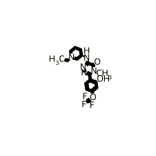 CCN1CCC[C@@H](Nc2nnc(-c3ccc(OC(F)(F)F)cc3O)n(C)c2=O)C1